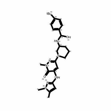 Cc1cc(Nc2cc(N3CCCC(NC(O)c4ccc(C(C)(C)C)cc4)C3)nn(C)c2=O)nn1C